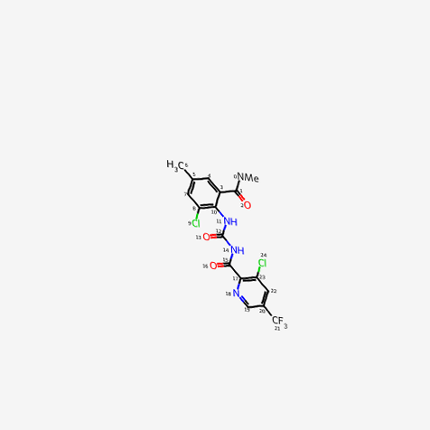 CNC(=O)c1cc(C)cc(Cl)c1NC(=O)NC(=O)c1ncc(C(F)(F)F)cc1Cl